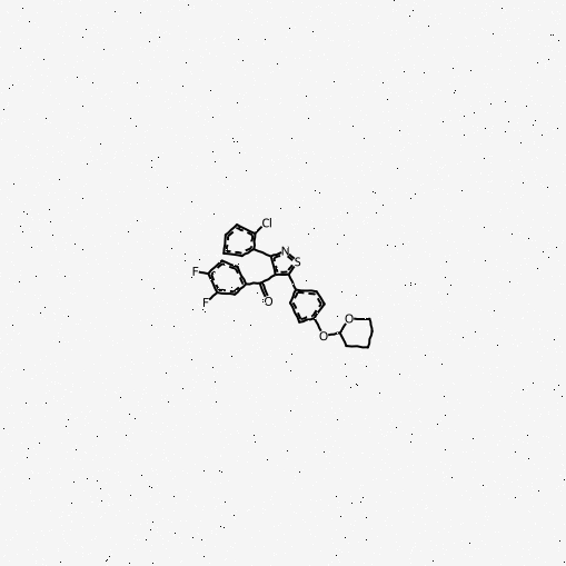 O=C(c1ccc(F)c(F)c1)c1c(-c2ccccc2Cl)nsc1-c1ccc(OC2CCCCO2)cc1